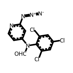 [N-]=[N+]=Nc1cc(N(C=O)c2c(Cl)cc(Cl)cc2Cl)ccn1